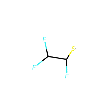 FC(F)C(F)[S]